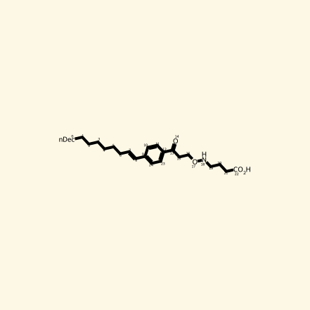 CCCCCCCCCCCCCCCCC=Cc1ccc(C(=O)CCONCCCC(=O)O)cc1